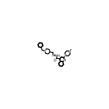 CN1CCN(c2cc(C(=O)N/N=C/C3CCN(Cc4ccccc4)CC3)c3ccccc3n2)CC1